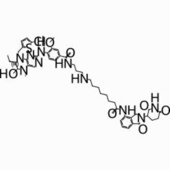 CC[C@@H]1C(O)N(C)c2cnc(Nc3ccc(C(=O)NCCCNCCCCCCCC(=O)Nc4cccc5c4CN(C4CCC(=O)NC4=O)C5=O)cc3OC)nc2N1Cc1ccc(Cl)s1